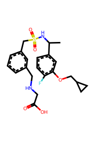 CC(NS(=O)(=O)Cc1cccc(CNCC(=O)O)c1)c1ccc(F)c(OCC2CC2)c1